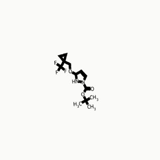 CC(C)(C)OC(=O)N1C=CC(OCC2(C(F)(F)F)CC2)N1